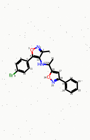 Cc1noc(-c2ccc(Br)cc2)c1NC(C)c1cc(-c2ccccc2)no1